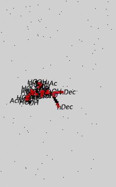 CCCCCCCCCCCCC/C=C/[C@@H](O)[C@H](CO[C@@H]1OC(CO)[C@@H](O[C@@H]2OC(CO)[C@H](O[C@@H]3OC(CO[C@]4(C(=O)O)CC(O)[C@@H](NC(C)=O)C([C@H](O)[C@H](O)CO)O4)[C@H](O)[C@H](O[C@@H]4OC(CO)[C@H](O)[C@H](O[C@]5(C(=O)O)CC(O)[C@@H](NC(C)=O)C([C@H](O)[C@H](O)CO)O5)C4O)C3NC(C)=O)[C@H](O)C2O)[C@H](O)C1O)NC(=O)CCCCCCCCCCCCCCCCCCC